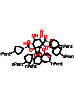 CCCCC[C@H]1CC[C@H](C(=O)O[C@@]2(C(=O)[C@H]3CC[C@H](CCCCC)CC3)[C@@](OC(=O)[C@H]3CC[C@H](CCCCC)CC3)(C(=O)[C@H]3CC[C@H](CCCCC)CC3)[C@@H](O)[C@H](O)[C@@H](O)[C@@]2(OC(=O)[C@H]2CC[C@H](CCCCC)CC2)C(=O)[C@H]2CC[C@H](CCCCC)CC2)CC1